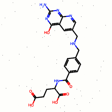 Nc1nc(O)c2cc(CNCc3ccc(C(=O)NC(CCC(=O)O)C(=O)O)cc3)cnc2n1